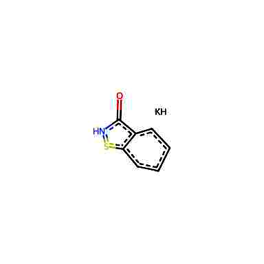 O=c1[nH]sc2ccccc12.[KH]